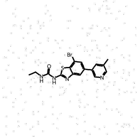 CCNC(=O)Nc1nc2cc(-c3cncc(C)c3)cc(Br)c2s1